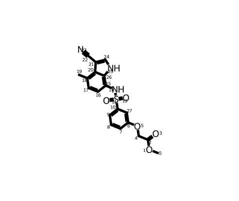 COC(=O)COc1cccc(S(=O)(=O)Nc2ccc(C)c3c(C#N)c[nH]c23)c1